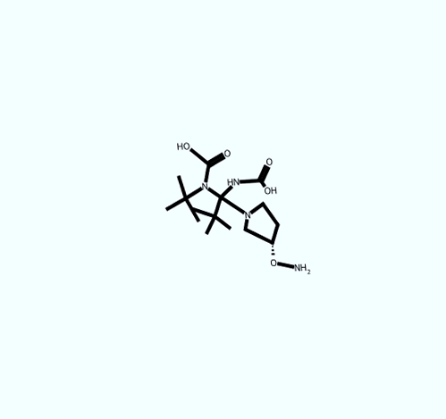 CC(C)(C)N(C(=O)O)C(NC(=O)O)(N1CC[C@H](ON)C1)C(C)(C)C